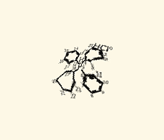 Cl.c1ccc([PH](c2ccccc2)(c2ccccc2)C2CCCCC2)cc1